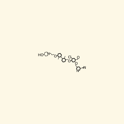 Cc1c(COc2cc(OCc3cncc(C#N)c3)c(C=O)cc2Cl)cccc1-c1cccc(OCCCN2CCC(O)CC2)c1C